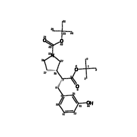 CC(C)(C)OC(=O)[C@H](Cc1cccc(O)c1)[C@@H]1CCN(C(=O)OC(C)(C)C)C1